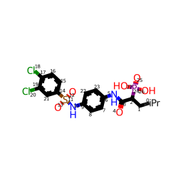 CC(C)CC(C(=O)Nc1ccc(NS(=O)(=O)c2ccc(Cl)c(Cl)c2)cc1)P(=O)(O)O